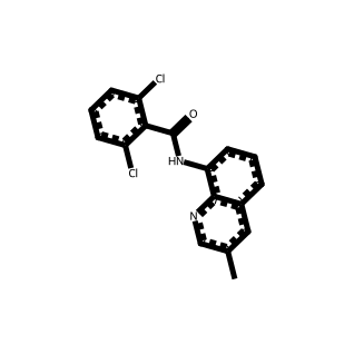 Cc1cnc2c(NC(=O)c3c(Cl)cccc3Cl)cccc2c1